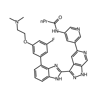 CCCC(=O)Nc1cncc(-c2cc3c(-c4nc5c(-c6cc(F)cc(OCCN(C)C)c6)cccc5[nH]4)n[nH]c3cn2)c1